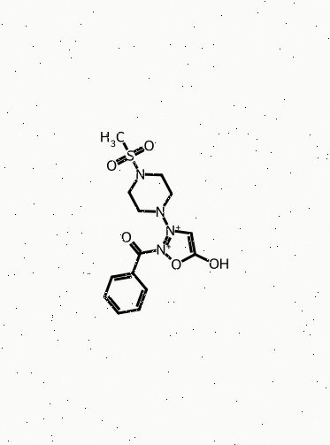 CS(=O)(=O)N1CCN([n+]2cc(O)o[n+]2C(=O)c2ccccc2)CC1